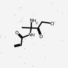 C=CC(=O)NC(C)(N)C(=O)CCl